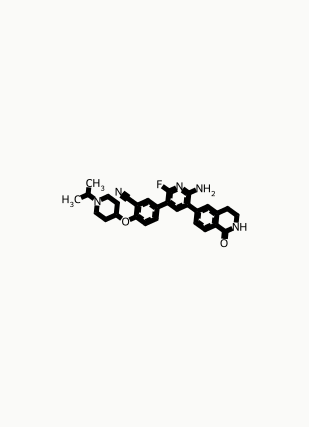 CC(C)N1CCC(Oc2ccc(-c3cc(-c4ccc5c(c4)CCNC5=O)c(N)nc3F)cc2C#N)CC1